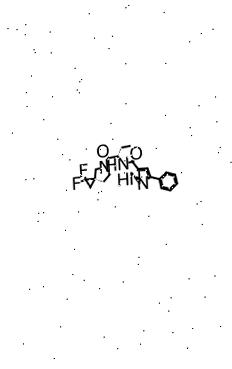 CC[C@H](NC(=O)c1cc(-c2ccccc2)n[nH]1)C(=O)N1CC[C@]2(C1)CC2(F)F